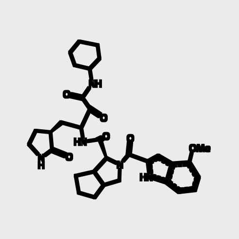 COc1cccc2[nH]c(C(=O)N3CC4CCCC4[C@H]3C(=O)NC(C[C@@H]3CCNC3=O)C(=O)C(=O)NC3CCCCC3)cc12